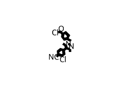 Cc1nn(Cc2ccc(C(=O)Cl)cc2)c(C)c1-c1ccc(C#N)c(Cl)c1